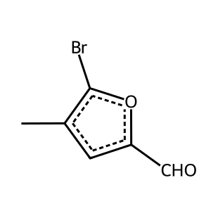 Cc1cc(C=O)oc1Br